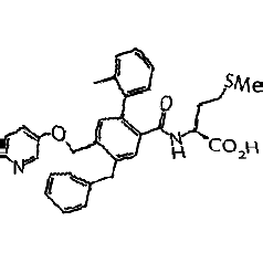 CSCC[C@H](NC(=O)c1cc(Cc2ccccc2)c(COc2cccnc2)cc1-c1ccccc1C)C(=O)O